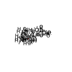 COc1ccc2c(c1)C1(OC2=O)c2ccc(NC(=O)C(CCCNC(=N)N)NN3CCC[C@H]3C(=O)C(=O)[C@@H](NC(=O)OC(C)(C)C)C(C)C)cc2Oc2cc([N+](=O)[O-])ccc21